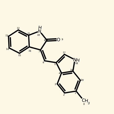 Cc1ccc2c(C=C3C(=O)Nc4ccccc43)c[nH]c2c1